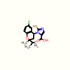 CC(C)C1(C)CC(n2c(C(=O)O)cnc2S)c2cc(F)ccc2O1